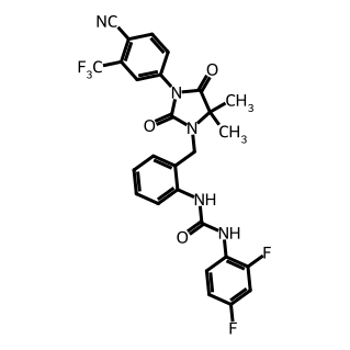 CC1(C)C(=O)N(c2ccc(C#N)c(C(F)(F)F)c2)C(=O)N1Cc1ccccc1NC(=O)Nc1ccc(F)cc1F